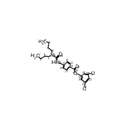 CCCCN(CCCC)C(=O)Nc1ccc(C(=O)Oc2cc(Cl)cc(Cl)c2)cc1